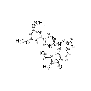 COc1cc(OC)nc(-c2cnc(N3CC4(CC4)c4ccc(C(=O)N(C)CCO)cc43)nc2)c1